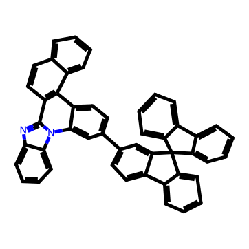 c1ccc2c(c1)-c1ccccc1C21c2ccccc2-c2ccc(-c3ccc4c5c6ccccc6ccc5c5nc6ccccc6n5c4c3)cc21